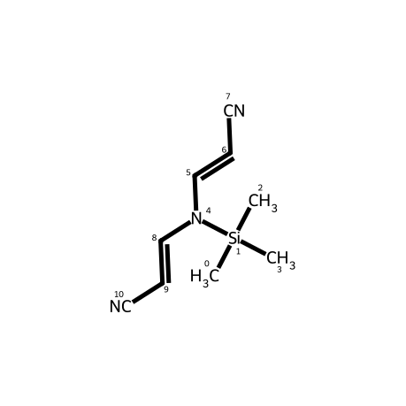 C[Si](C)(C)N(C=CC#N)C=CC#N